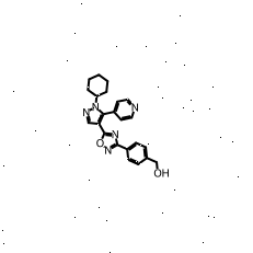 OCc1ccc(-c2noc(-c3cnn(C4CCCCC4)c3-c3ccncc3)n2)cc1